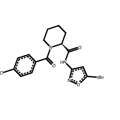 CC(C)(C)c1cc(NC(=O)[C@@H]2CCCCN2C(=O)c2ccc(Cl)cc2)no1